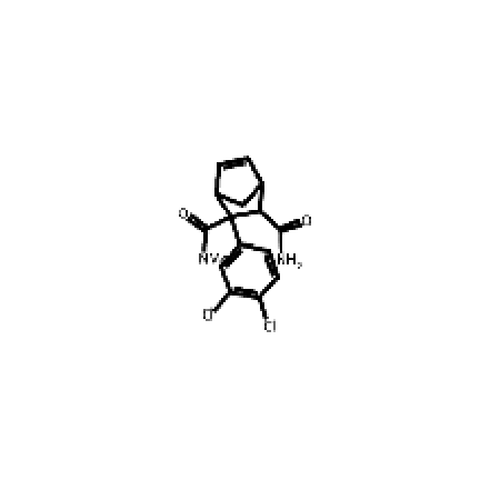 CNC(=O)C1(c2ccc(Cl)c(Cl)c2)C2C=CC(C2)C1C(N)=O